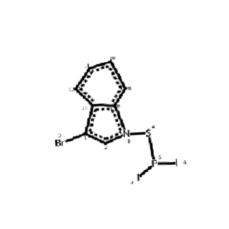 Brc1cn(SP(I)I)c2ccccc12